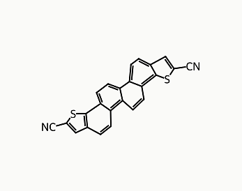 N#Cc1cc2ccc3c4ccc5c(ccc6cc(C#N)sc65)c4ccc3c2s1